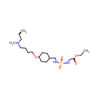 C=CCN(C)CCCCOC1CCC(CNS(=O)(=O)NCC(=O)OCC)CC1